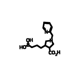 O=C(O)C1CN(Cc2ccccn2)CC1CCCB(O)O